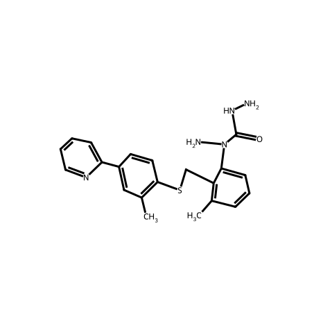 Cc1cc(-c2ccccn2)ccc1SCc1c(C)cccc1N(N)C(=O)NN